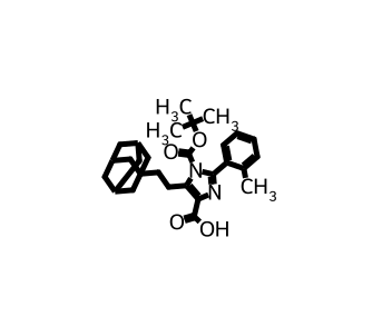 Cc1ccccc1-c1nc(C(=O)O)c(CCC23CC4CC(CC(C4)C2)C3)n1C(=O)OC(C)(C)C